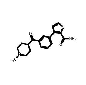 CN1CCC(C(=O)c2cccc(-c3ccsc3C(N)=O)c2)CC1